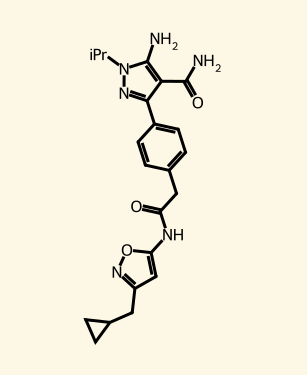 CC(C)n1nc(-c2ccc(CC(=O)Nc3cc(CC4CC4)no3)cc2)c(C(N)=O)c1N